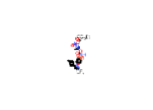 CCOC(=O)OC(C)O/N=[N+](/[O-])N1CC(OC(=O)NS(=O)(=O)c2ccc(-n3nc(C(F)(F)F)cc3-c3ccc(C)cc3)cc2)C1